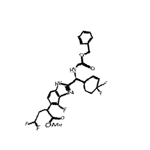 COC(=O)C(CC(F)F)c1ccc2[nH]c([C@@H](NC(=O)OCc3ccccc3)C3CCC(F)(F)CC3)nc2c1F